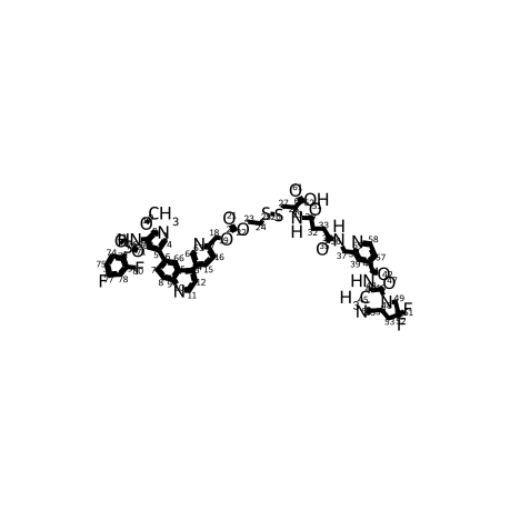 COc1ncc(-c2ccc3nccc(-c4ccc(COC(=O)OCCSSCC(NC(=O)CCC(=O)NCc5cc(C(=O)NC(C)C(=O)N6CC(F)(F)CC6C#N)ccn5)C(=O)O)nc4)c3c2)cc1NS(=O)(=O)c1ccc(F)cc1F